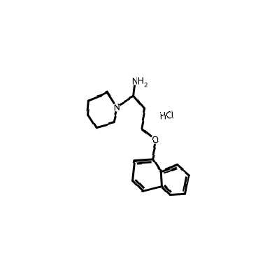 Cl.NC(CCOc1cccc2ccccc12)N1CCCCC1